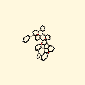 c1ccc(-c2ccc(-c3ccccc3N(c3ccccc3)c3ccccc3-c3ccc4c(c3)C3(c5ccccc5Oc5ccccc53)c3ccccc3-4)cc2)cc1